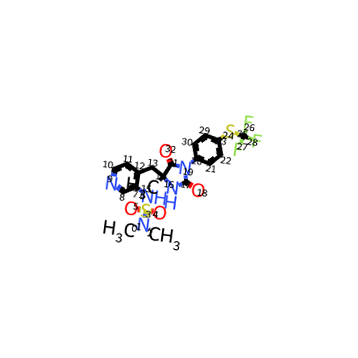 CN(C)S(=O)(=O)Nc1cnccc1CC1(C)NC(=O)N(c2ccc(SC(F)(F)F)cc2)C1=O